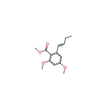 CC/C=C/c1cc(OC)cc(OC)c1C(=O)OC